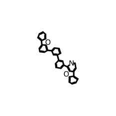 c1cc(-c2cccc(-c3nccc4c3oc3ccccc34)c2)cc(-c2cccc3c2oc2ccccc23)c1